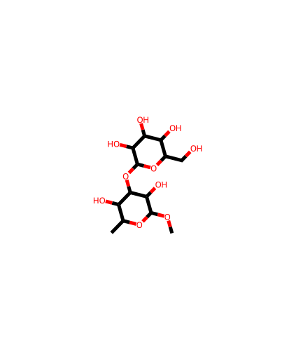 COC1OC(C)C(O)C(OC2OC(CO)C(O)C(O)C2O)C1O